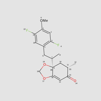 COc1cc(F)c(CC(C)[C@]23C[C@H](C)C(=O)C=C2OCO3)cc1F